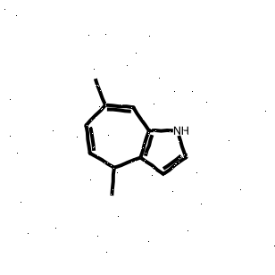 CC1=Cc2[nH]ccc2C(C)C=C1